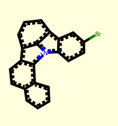 Brc1ccc2c(c1)c1cccc3c4ccc5ccccc5c4n2c13